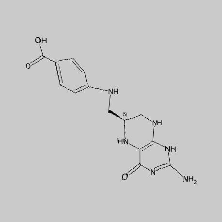 Nc1nc(=O)c2c([nH]1)NC[C@H](CNc1ccc(C(=O)O)cc1)N2